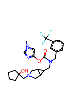 Cn1cnc(OC(=O)N(Cc2cccc(C(F)(F)F)c2)CC2C3CN(CC4(O)CCCC4)CC32)c1